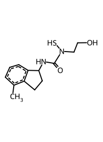 Cc1cccc2c1CCC2NC(=O)N(S)CCO